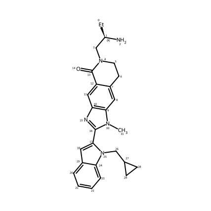 CC[C@@H](N)CN1CCc2cc3c(cc2C1=O)nc(-c1cc2ccccc2n1CC1CC1)n3C